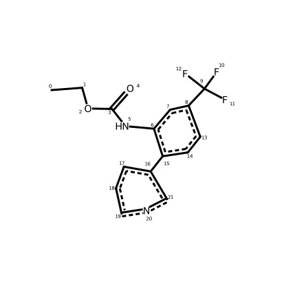 CCOC(=O)Nc1cc(C(F)(F)F)ccc1-c1cccnc1